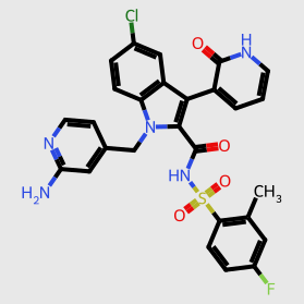 Cc1cc(F)ccc1S(=O)(=O)NC(=O)c1c(-c2ccc[nH]c2=O)c2cc(Cl)ccc2n1Cc1ccnc(N)c1